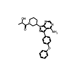 CC(O)C(=O)N1CCCC(n2nc(-c3ccc(Oc4ccccc4)cc3)c3c(N)ncnc32)C1